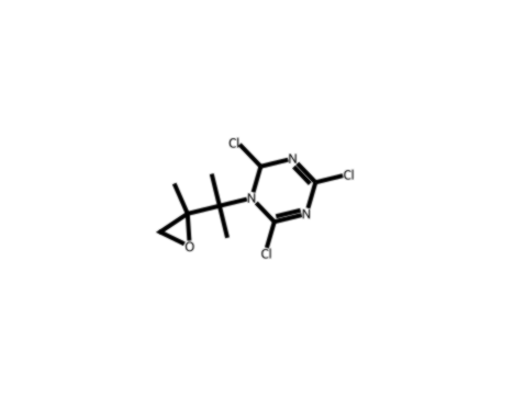 CC1(C(C)(C)N2C(Cl)=NC(Cl)=NC2Cl)CO1